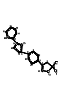 OC1(C(F)(F)F)CC(c2ccc(-c3ccn(-c4ccccn4)n3)cc2)=NO1